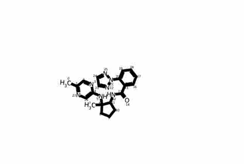 Cc1cnc(NC2(C)CCCC2NC(=O)c2ccccc2-n2nccn2)cn1